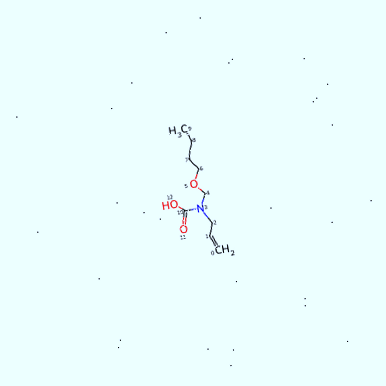 C=CCN(COCCCC)C(=O)O